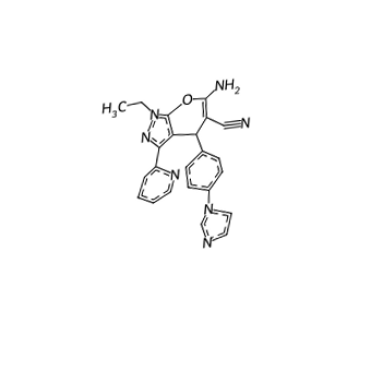 CCn1nc(-c2ccccn2)c2c1OC(N)=C(C#N)C2c1ccc(-n2ccnc2)cc1